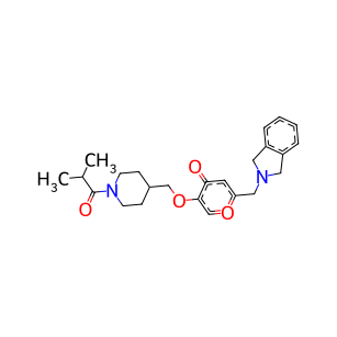 CC(C)C(=O)N1CCC(COc2coc(CN3Cc4ccccc4C3)cc2=O)CC1